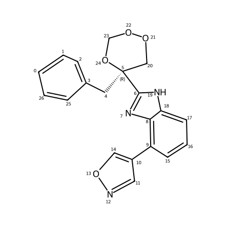 c1ccc(C[C@@]2(c3nc4c(-c5cnoc5)cccc4[nH]3)COOCO2)cc1